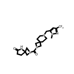 Cn1nc(C(F)(F)F)cc1CN1CCC2(CC1)CN(C(=O)N1CC3(CCC(=O)N3)C1)C2